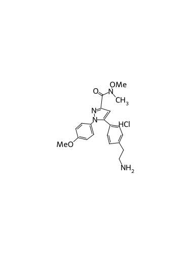 COc1ccc(-n2nc(C(=O)N(C)OC)cc2-c2ccc(CCN)cc2)cc1.Cl